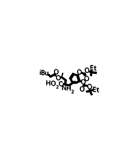 CCC(C)CC(=O)O[C@@H](C)CC(N)(Cc1ccc(OC(=O)OC(C)(C)CC)c(OC(=O)OC(C)(C)CC)c1)C(=O)O